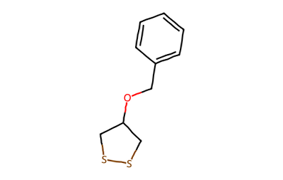 c1ccc(COC2CSSC2)cc1